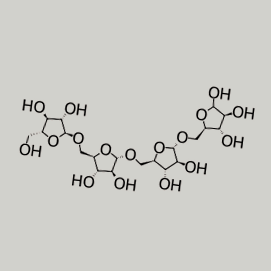 OC[C@H]1O[C@H](OC[C@H]2O[C@H](OC[C@H]3O[C@H](OC[C@H]4OC(O)[C@@H](O)[C@@H]4O)[C@@H](O)[C@@H]3O)[C@@H](O)[C@@H]2O)[C@@H](O)[C@@H]1O